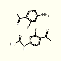 CC(=O)c1ccc(N)cc1F.CC(=O)c1ccc(NC(=O)O)cc1F